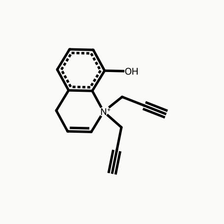 C#CC[N+]1(CC#C)C=CCc2cccc(O)c21